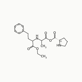 CCOC(=O)C(CCc1ccccc1)NC(C)C(=O)OC(=O)[C@@H]1CCCN1